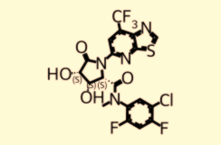 CN(C(=O)[C@@H]1[C@H](O)[C@H](O)C(=O)N1c1cc(C(F)(F)F)c2ncsc2n1)c1cc(Cl)c(F)cc1F